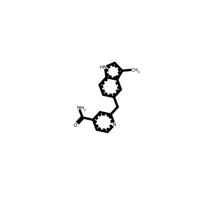 Cc1c[nH]c2ccc(Cc3cc(C(N)=O)ccn3)cc12